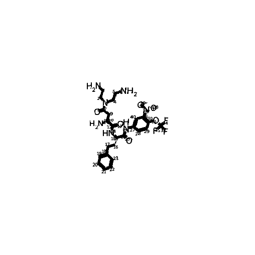 NCCN(CCN)C(=O)C[C@H](N)C(=O)N[C@@H](CCc1ccccc1)C(=O)Nc1ccc(OC(F)(F)F)c([N+](=O)[O-])c1